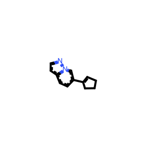 C1=C(c2ccc3ccnn3c2)CCC1